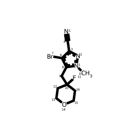 Cn1nc(C#N)c(Br)c1CC1(F)CCOCC1